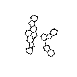 c1ccc2cc(-c3nc(-n4c5cc6c7ccccc7sc6c6ccc7cc8c9ccccc9sc8c4c7c65)nc4c3sc3ccccc34)ccc2c1